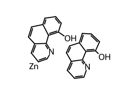 Oc1cccc2ccc3cccnc3c12.Oc1cccc2ccc3cccnc3c12.[Zn]